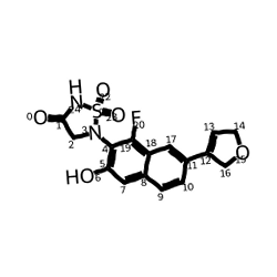 O=C1CN(c2c(O)cc3ccc(C4=CCOC4)cc3c2F)S(=O)(=O)N1